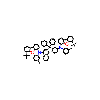 Cc1cccc(N(c2ccc3c(c2)C(c2ccccc2)(c2ccccc2)c2cc(N(c4cccc(C)c4)c4cccc5c4oc4c(C(C)(C)C)cccc45)c4ccccc4c2-3)c2cccc3c2oc2c(C(C)(C)C)cccc23)c1